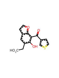 O=C(O)Cc1cc2ccoc2c(C(=O)c2ccsc2)c1O